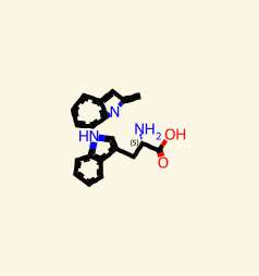 C=C1C=c2ccccc2=N1.N[C@@H](Cc1c[nH]c2ccccc12)C(=O)O